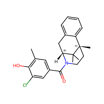 Cc1cc(C(=O)N2CC[C@@]3(C)c4ccccc4C[C@@H]2C3(C)C)cc(Cl)c1O